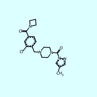 Cc1cnn(C(=O)N2CCN(Cc3ccc(C(=O)N4CCC4)cc3Cl)CC2)c1